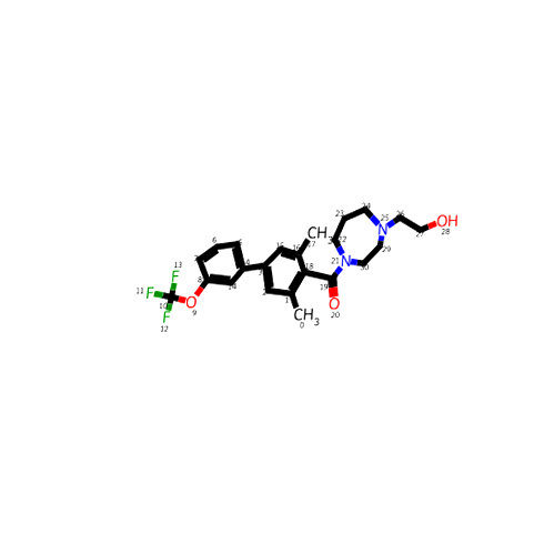 Cc1cc(-c2cccc(OC(F)(F)F)c2)cc(C)c1C(=O)N1CCCN(CCO)CC1